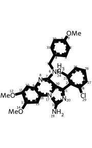 COc1ccc(CNc2nc3cc(OC)c(OC)cc3n3c(N)nc(-c4c(C)cccc4Cl)c23)cc1